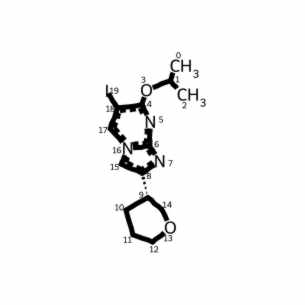 CC(C)Oc1nc2nc([C@H]3CCCOC3)cn2cc1I